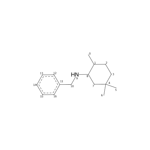 CC1CCC(C)(C)CC1NCc1ccccc1